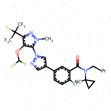 CC(C)CN(C(=O)c1cc(-c2cnn(-c3c(OC(F)F)c(C(F)(C(F)(F)F)C(F)(F)F)nn3C)c2)ccc1Cl)C1(C#N)CC1